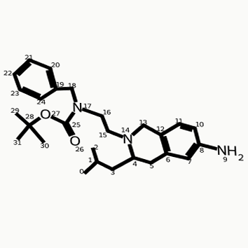 CC(C)CC1Cc2cc(N)ccc2CN1CCN(Cc1ccccc1)C(=O)OC(C)(C)C